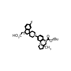 CC(C)(C)OC(=O)N1C[C@]2(C)CCCN2c2cc(N3CCC4(CC3)C[C@@H](CC(=O)O)c3ccc(F)cc34)ccc21